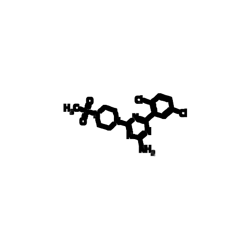 CS(=O)(=O)N1CCN(c2nc(N)nc(-c3cc(Cl)ccc3Cl)n2)CC1